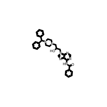 O=C(Nc1ncnc2c1ncn2CC(O)CN1CCN(C(c2ccccc2)c2ccccc2)CC1)c1ccccc1